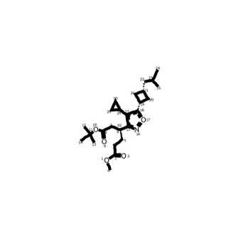 COC(=O)CC[C@@H](CC(=O)OC(C)(C)C)c1noc([C@H]2C[C@@H](CC(C)C)C2)c1C1CC1